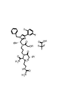 CC(C)[C@H](N)C(=O)N(CCCN(C(=O)CO)[C@@H](c1nc(-c2cc(F)ccc2F)cn1Cc1ccccc1)C(C)(C)C)[C@@H](CCCNC(N)=O)C(N)=O.O=C(O)C(F)(F)F